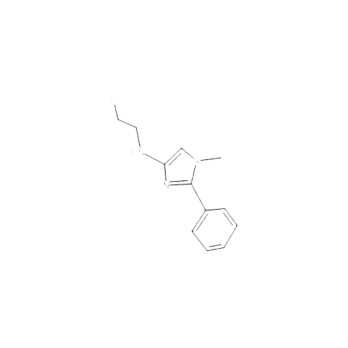 Cn1cc(NCCO)nc1-c1ccccc1